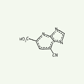 N#Cc1cc(C(=O)O)nc2ncnn12